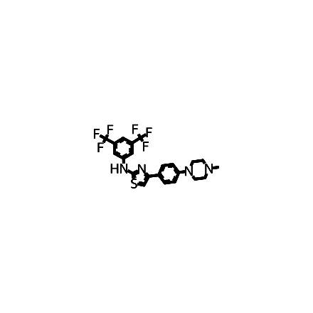 CN1CCN(c2ccc(-c3csc(Nc4cc(C(F)(F)F)cc(C(F)(F)F)c4)n3)cc2)CC1